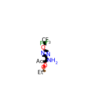 CCSOO/C(C(C)=O)=C(\N)c1cnc(OCC(F)(F)C(F)(F)F)cn1